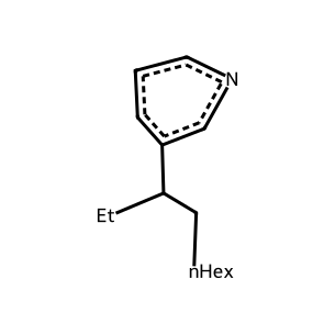 CCCCCCCC(CC)c1cccnc1